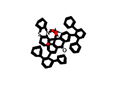 O=C1c2cc(-c3c(-c4ccccc4)cccc3-c3ccccc3)ccc2C2(c3ccc(-c4c(-c5ccccc5)cccc4-c4ccccc4)cc31)c1ccccc1N1c3ccccc3Sc3cccc2c31